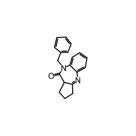 O=C1C2CCCC2=Nc2ccccc2N1Cc1ccccc1